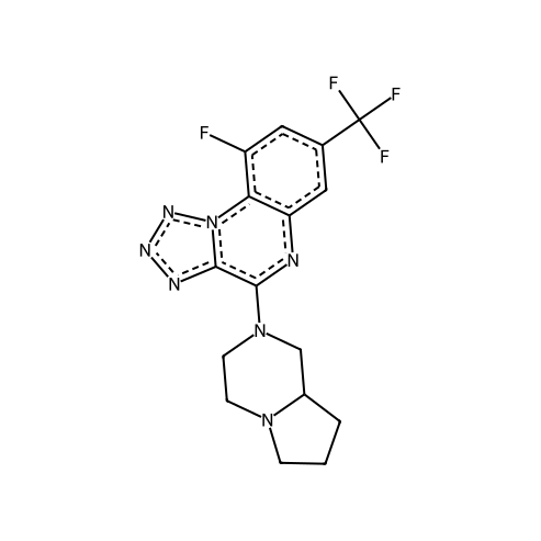 Fc1cc(C(F)(F)F)cc2nc(N3CCN4CCCC4C3)c3nnnn3c12